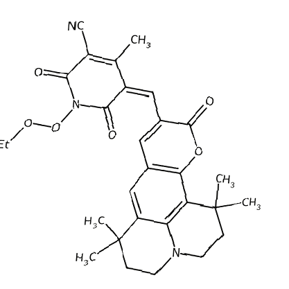 CCOON1C(=O)C(C#N)=C(C)/C(=C/c2cc3cc4c5c(c3oc2=O)C(C)(C)CCN5CCC4(C)C)C1=O